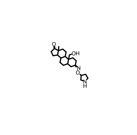 CC12CCC3C(CCC4CC(=NOC5CCNC5)CCC43CO)C1CCC2=O